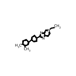 C=CCn1ccc2nc(-c3ccc(-c4ccc(C)c(C)c4)cc3)nc-2c1